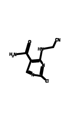 N#CCNc1nc(Cl)ncc1C(N)=O